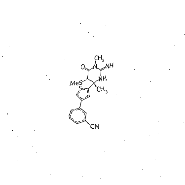 CSC1C(=O)N(C)C(=N)N[C@]1(C)c1cc(-c2cccc(C#N)c2)cs1